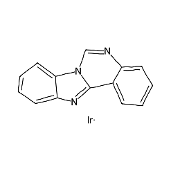 [Ir].c1ccc2c(c1)ncn1c3ccccc3nc21